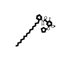 CCCCCCCCCCCCCCCCc1ccccc1NC(=O)c1cc(OC2CCCC2)c(OC)cc1F